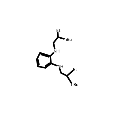 CCCCC(CC)CNc1ccccc1NCC(CC)CCCC